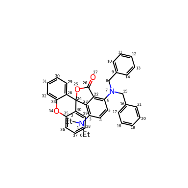 CCN(CC)c1ccc(N(Cc2ccccc2)Cc2ccccc2)c2c1C1(OC2=O)c2ccccc2Oc2ccccc21